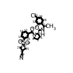 C[C@@H](NC(=O)[C@H]1CCCN1C(=O)c1cccc(S(=O)(=O)N2CC(C#N)C2)c1)c1ccc(Cl)cc1